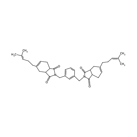 CC(C)=CCCC1=CCC2C(=O)N(Cc3cccc(CN4C(=O)C5CC=C(CCC=C(C)C)CC5C4=O)c3)C(=O)C2C1